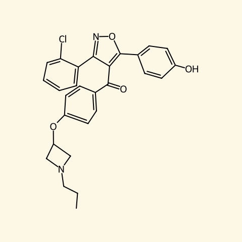 CCCN1CC(Oc2ccc(C(=O)c3c(-c4ccccc4Cl)noc3-c3ccc(O)cc3)cc2)C1